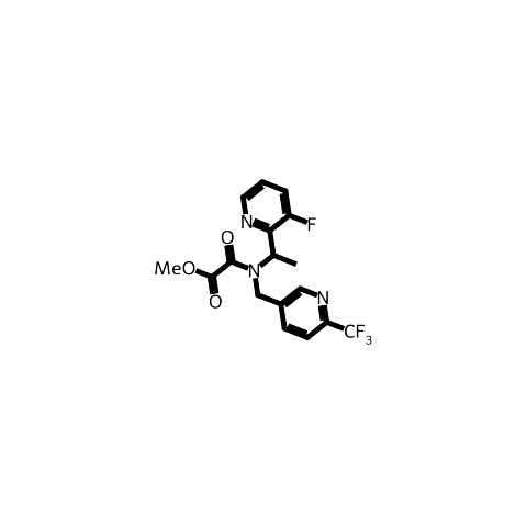 COC(=O)C(=O)N(Cc1ccc(C(F)(F)F)nc1)C(C)c1ncccc1F